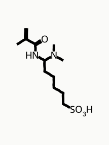 C=C(C)C(=O)NC(CCCCCS(=O)(=O)O)N(C)C